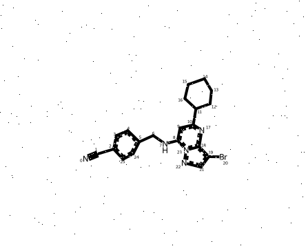 N#Cc1ccc(CNc2cc(C3CCCCC3)nc3c(Br)cnn23)cc1